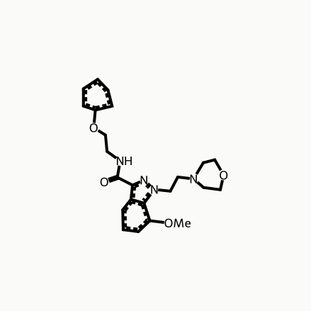 COc1cccc2c(C(=O)NCCOc3ccccc3)nn(CCN3CCOCC3)c12